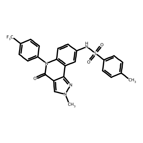 Cc1ccc(S(=O)(=O)Nc2ccc3c(c2)c2nn(C)cc2c(=O)n3-c2ccc(C(F)(F)F)cc2)cc1